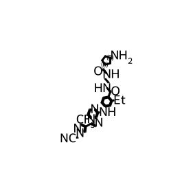 CCc1cc(Nc2nccn3c(-c4cn(CC#N)nc4C(F)(F)F)cnc23)ccc1C(=O)NCCNC(=O)[C@@H]1CC[C@@H](N)C1